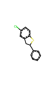 Clc1ccc2c(c1)CC(c1ccccc1)S2